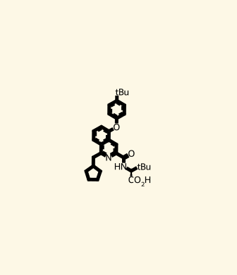 CC(C)(C)c1ccc(Oc2cccc3c(CC4CCCC4)nc(C(=O)N[C@H](C(=O)O)C(C)(C)C)cc23)cc1